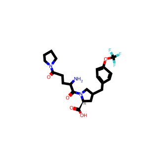 NC(CCC(=O)N1CCCC1)C(=O)N1CC(Cc2ccc(OC(F)(F)F)cc2)C[C@H]1C(=O)O